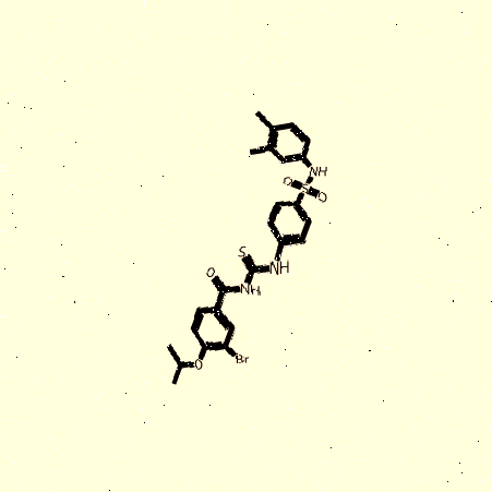 Cc1ccc(NS(=O)(=O)c2ccc(NC(=S)NC(=O)c3ccc(OC(C)C)c(Br)c3)cc2)cc1C